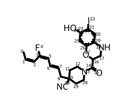 C\C=C/C(F)=C\C=C\CC1(C#N)CCN(C(=O)C2CNc3cc(I)c(O)cc3O2)CC1